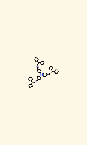 C1=CC(N(c2ccc(/C=C/C=C(c3ccccc3)c3ccccc3)cc2)c2ccc(/C=C/C=C(c3ccccc3)c3ccccc3)cc2)CC=C1/C=C/C=C(c1ccccc1)c1ccccc1